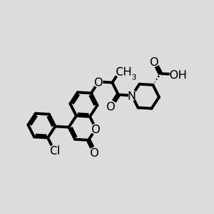 CC(Oc1ccc2c(-c3ccccc3Cl)cc(=O)oc2c1)C(=O)N1CCC[C@@H](C(=O)O)C1